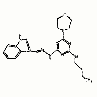 CCCCNc1nc(N/N=C/c2c[nH]c3ccccc23)cc(N2CCOCC2)n1